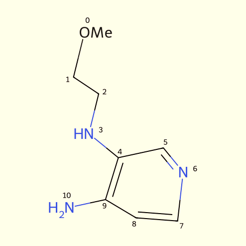 COCCNc1cnccc1N